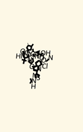 CC[C@@H]1CC1(NC(=O)[C@@H]1C[C@H](Oc2cc(-c3csc(NC(C)C)n3)nc3c(Cl)c(OCC#N)ccc23)CN1C(=O)C(NC(=O)OC1CC(C)[C@@H](C)C1)C(C)(C)C)C(=O)O